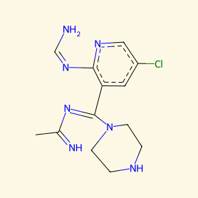 CC(=N)/N=C(/c1cc(Cl)cnc1/N=C\N)N1CCNCC1